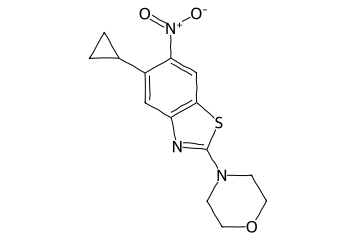 O=[N+]([O-])c1cc2sc(N3CCOCC3)nc2cc1C1CC1